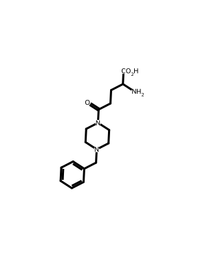 NC(CCC(=O)N1CCN(Cc2ccccc2)CC1)C(=O)O